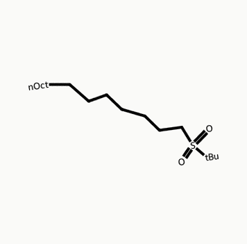 CCCCCCCCCCCCCCCS(=O)(=O)C(C)(C)C